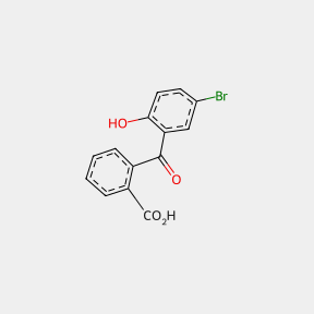 O=C(O)c1ccccc1C(=O)c1cc(Br)ccc1O